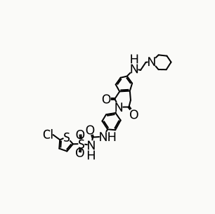 O=C(Nc1ccc(N2C(=O)Cc3cc(NCCN4CCCCC4)ccc3C2=O)cc1)NS(=O)(=O)c1ccc(Cl)s1